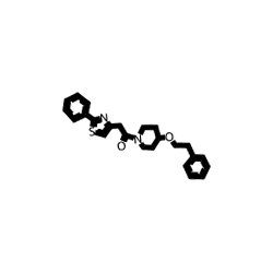 O=C(Cc1csc(-c2ccccc2)n1)N1CCC(OCCc2ccccc2)CC1